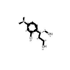 CN(C)c1ccc([C@H](CO)CCO)c(Cl)c1